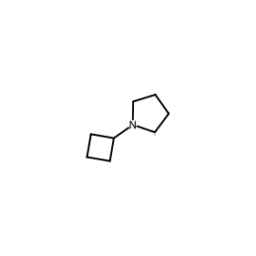 [CH]1CCCN1C1CCC1